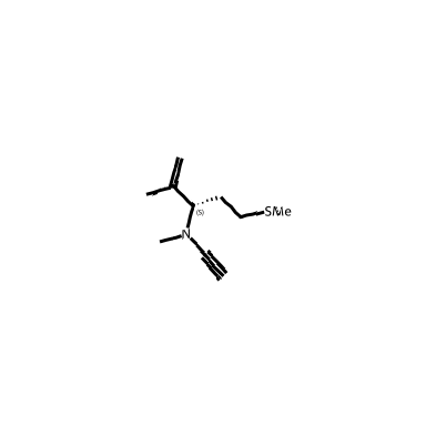 C#CN(C)[C@@H](CCSC)C(=C)C